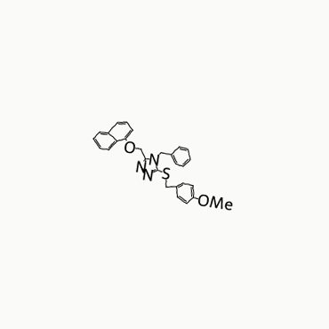 COc1ccc(CSc2nnc(COc3cccc4ccccc34)n2Cc2ccccc2)cc1